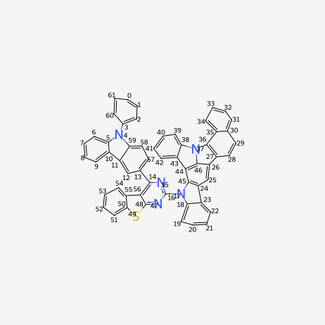 c1ccc(-n2c3ccccc3c3cc(-c4nc(-n5c6ccccc6c6cc7c8ccc9ccccc9c8n8c9ccccc9c(c65)c78)nc5sc6ccccc6c45)ccc32)cc1